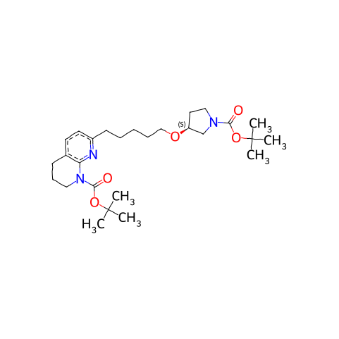 CC(C)(C)OC(=O)N1CC[C@H](OCCCCCc2ccc3c(n2)N(C(=O)OC(C)(C)C)CCC3)C1